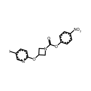 O=C(Oc1ccc([N+](=O)[O-])cc1)N1CC(Oc2ccc(I)cn2)C1